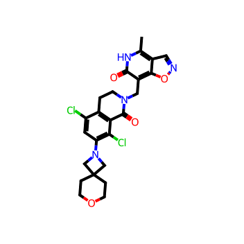 Cc1[nH]c(=O)c(CN2CCc3c(Cl)cc(N4CC5(CCOCC5)C4)c(Cl)c3C2=O)c2oncc12